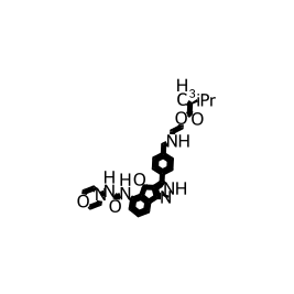 CC(C)[C@H](C)C(=O)OCCNCc1ccc(-c2[nH]nc3c2C(=O)c2c(NC(=O)NN4CCOCC4)cccc2-3)cc1